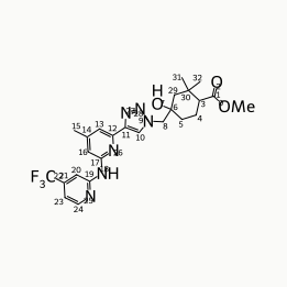 COC(=O)C1CCC(O)(Cn2cc(-c3cc(C)cc(Nc4cc(C(F)(F)F)ccn4)n3)nn2)CC1(C)C